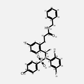 C[C@H](c1ccc(F)cc1CCC(=O)NCc1ccccc1)N(c1cc(F)ccc1F)S(=O)(=O)c1ccc(Cl)cc1